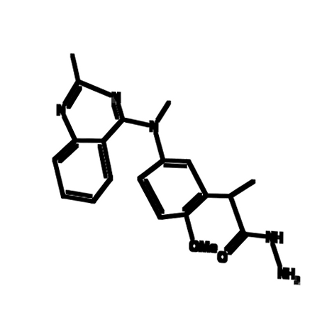 COc1ccc(N(C)c2nc(C)nc3ccccc23)cc1C(C)C(=O)NN